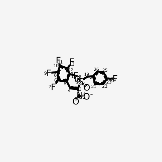 O=[N+]([O-])/C(=C/c1c(F)c(F)c(F)c(F)c1F)S(=O)(=O)Cc1ccc(F)cc1